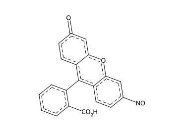 O=Nc1ccc2c(-c3ccccc3C(=O)O)c3ccc(=O)cc-3oc2c1